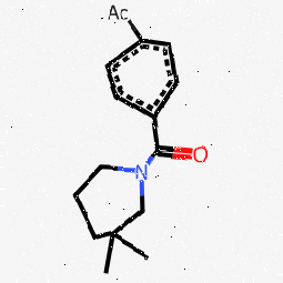 CC(=O)c1ccc(C(=O)N2CCCC(C)(C)C2)cc1